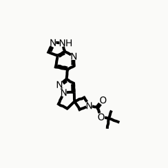 CC(C)(C)OC(=O)N1CC2(CCn3nc(-c4cnc5[nH]ncc5c4)cc32)C1